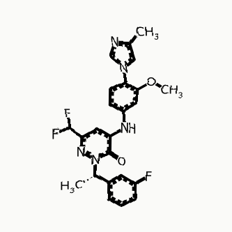 COc1cc(Nc2cc(C(F)F)nn([C@@H](C)c3cccc(F)c3)c2=O)ccc1-n1cnc(C)c1